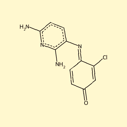 Nc1ccc(N=C2C=CC(=O)C=C2Cl)c(N)n1